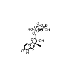 C#CC1(F)[C@@H](O)[C@@H](COP(=O)(O)OP(=O)(O)OP(=O)(O)O)O[C@H]1n1ccc(=O)[nH]c1=S